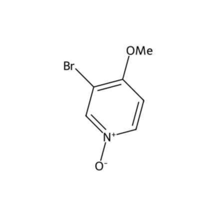 COc1cc[n+]([O-])cc1Br